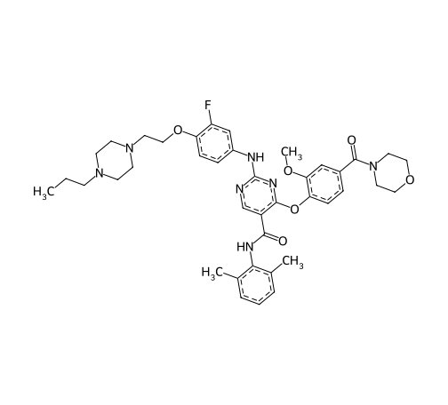 CCCN1CCN(CCOc2ccc(Nc3ncc(C(=O)Nc4c(C)cccc4C)c(Oc4ccc(C(=O)N5CCOCC5)cc4OC)n3)cc2F)CC1